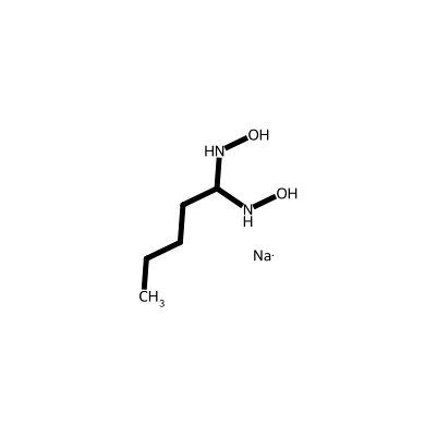 CCCCC(NO)NO.[Na]